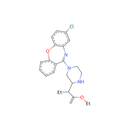 C=C(OCC)C(CC)C1CN(C2=Nc3cc(Cl)ccc3Oc3ccccc32)CCN1